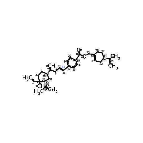 C=C[C@]1(C)CC[C@@H](C(=C)C/C=C/c2ccc(C(=O)OCC3=CC[C@H](C(=C)C)CC3)cc2)C[C@H]1C(=C)C